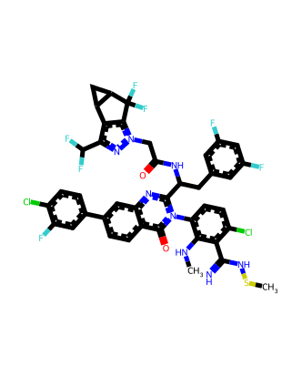 CNc1c(-n2c(C(Cc3cc(F)cc(F)c3)NC(=O)Cn3nc(C(F)F)c4c3C(F)(F)C3CC43)nc3cc(-c4ccc(Cl)c(F)c4)ccc3c2=O)ccc(Cl)c1C(=N)NSC